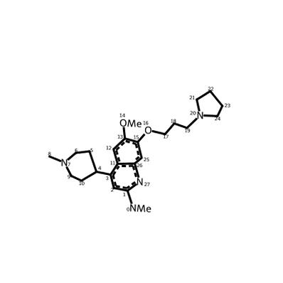 CNc1cc(C2CCN(C)CC2)c2cc(OC)c(OCCCN3CCCC3)cc2n1